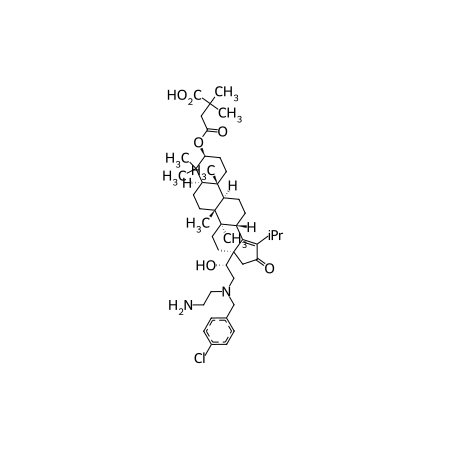 CC(C)C1=C2[C@H]3CC[C@@H]4[C@@]5(C)CC[C@H](OC(=O)CC(C)(C)C(=O)O)C(C)(C)[C@@H]5CC[C@@]4(C)[C@]3(C)CC[C@@]2([C@@H](O)CN(CCN)Cc2ccc(Cl)cc2)CC1=O